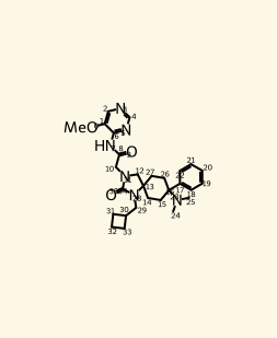 COc1cncnc1NC(=O)CN1CC2(CCC(c3ccccc3)(N(C)C)CC2)N(CC2CCC2)C1=O